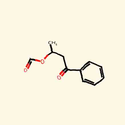 CC(CC(=O)c1ccccc1)O[C]=O